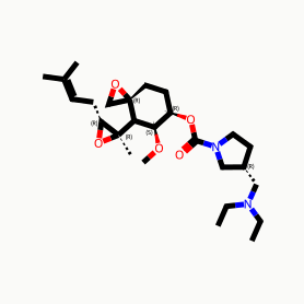 CCN(CC)C[C@H]1CCN(C(=O)O[C@@H]2CC[C@]3(CO3)C([C@@]3(C)O[C@@H]3CC=C(C)C)[C@@H]2OC)C1